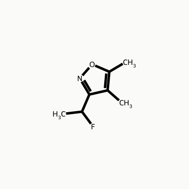 Cc1onc(C(C)F)c1C